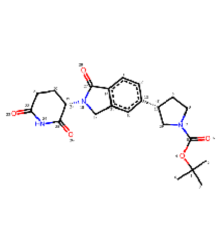 CC(C)(C)OC(=O)N1CC[C@@H](c2ccc3c(c2)CN([C@H]2CCC(=O)NC2=O)C3=O)C1